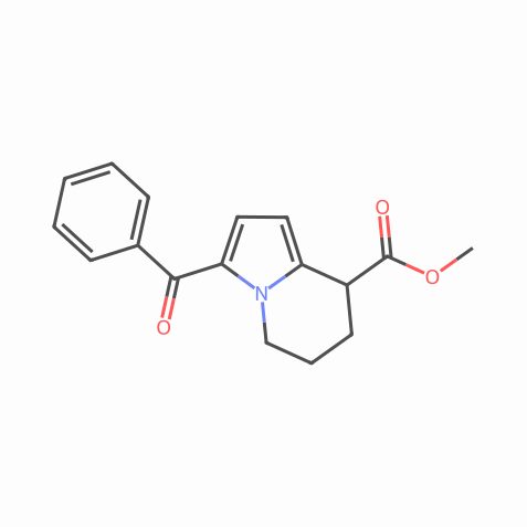 COC(=O)C1CCCn2c(C(=O)c3ccccc3)ccc21